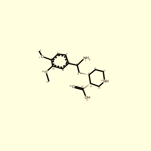 COc1ccc(C(N)C[C@@H]2CCNC[C@@H]2C(=O)O)cc1OC